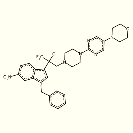 O=[N+]([O-])c1ccc2c(C(O)(CN3CCN(c4ncc(N5CCOCC5)cn4)CC3)C(F)(F)F)cn(Cc3ccccc3)c2c1